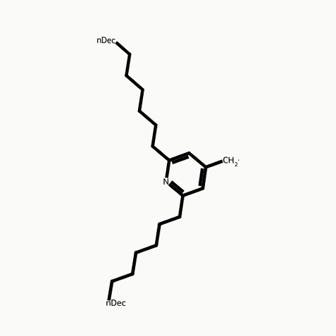 [CH2]c1cc(CCCCCCCCCCCCCCCC)nc(CCCCCCCCCCCCCCCC)c1